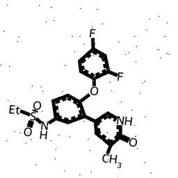 CCS(=O)(=O)Nc1ccc(Oc2ccc(F)cc2F)c(-c2c[nH]c(=O)c(C)c2)c1